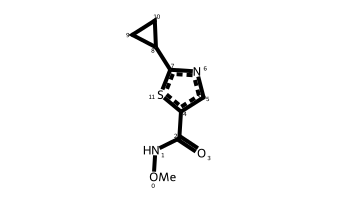 CONC(=O)c1cnc(C2CC2)s1